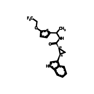 CC(NC(=O)[C@@H]1C[C@H]1c1c[nH]c2ccccc12)c1ccc(OCC(F)(F)F)s1